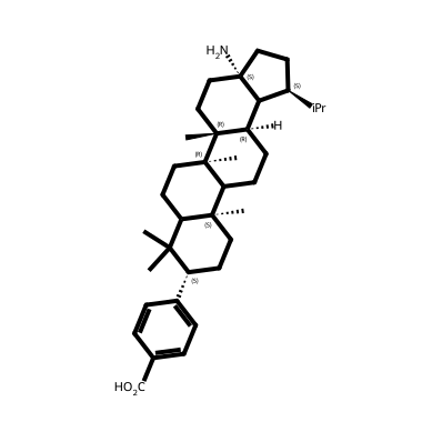 CC(C)[C@@H]1CC[C@]2(N)CC[C@]3(C)[C@H](CCC4[C@@]5(C)CC[C@H](c6ccc(C(=O)O)cc6)C(C)(C)C5CC[C@]43C)C12